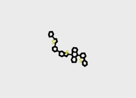 c1ccc(-c2ccc(-c3cccc(-c4ccc5cc(-c6c7ccccc7c(-c7cccc8c7sc7ccccc78)c7ccccc67)sc5c4)c3)s2)cc1